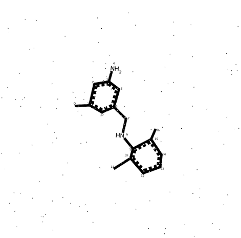 Cc1cc(N)cc(CNc2c(C)cccc2C)c1